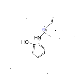 C=C/C=C(\C)Nc1ccccc1O